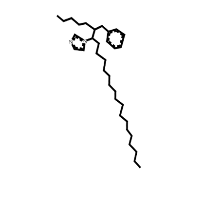 CCCCCCCCCCCCCCCCCC(C(CCCCC)Cc1ccccc1)n1ccnc1